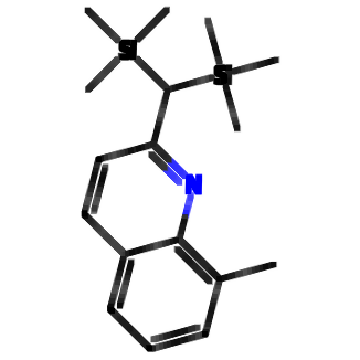 Cc1cccc2ccc(C([Si](C)(C)C)[Si](C)(C)C)nc12